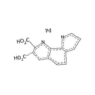 O=C(O)c1cc2ccc3cccnc3c2nc1C(=O)O.[Pd]